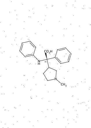 CN1CCC([C@@](Nc2ccccc2)(C(=O)O)c2ccccc2)C1